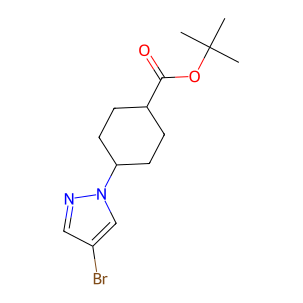 CC(C)(C)OC(=O)C1CCC(n2cc(Br)cn2)CC1